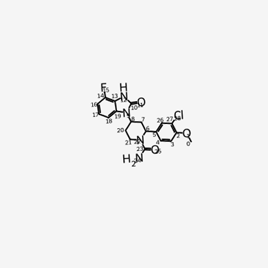 COc1ccc(C2CC(n3c(=O)[nH]c4c(F)cccc43)CCN2C(N)=O)cc1Cl